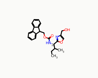 CCC(C)[C@H](NC(=O)OCC1c2ccccc2-c2ccccc21)c1nc(CO)co1